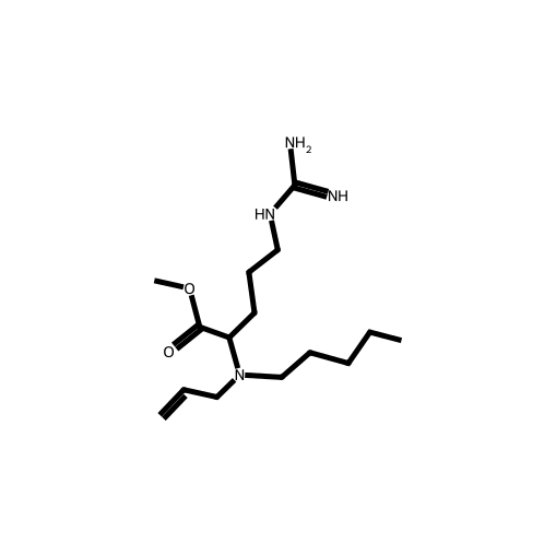 C=CCN(CCCCC)C(CCCNC(=N)N)C(=O)OC